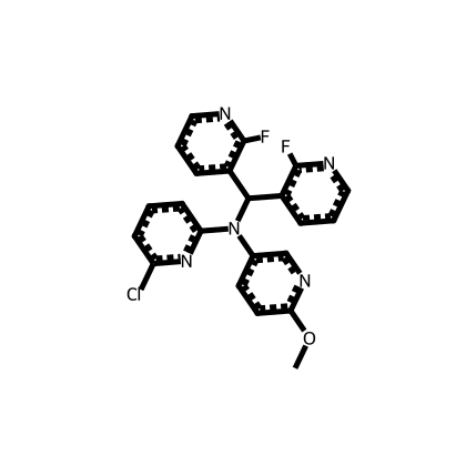 COc1ccc(N(c2cccc(Cl)n2)C(c2cccnc2F)c2cccnc2F)cn1